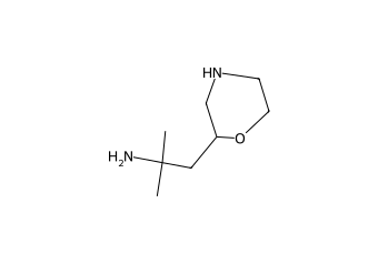 CC(C)(N)CC1CNCCO1